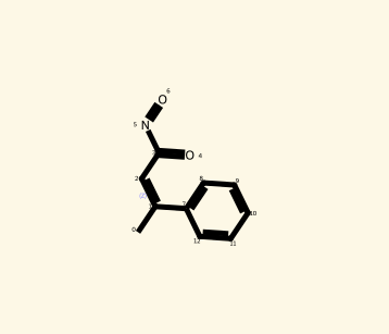 C/C(=C/C(=O)N=O)c1ccccc1